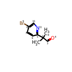 CC(C)(C=O)c1ccc(Br)cn1